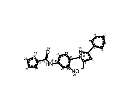 Cc1cc(-c2ccccc2)nn1-c1ccc(NC(=O)c2cccs2)cc1N=O